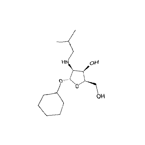 CC(C)CN[C@@H]1[C@@H](OC2CCCCC2)O[C@H](CO)[C@@H]1O